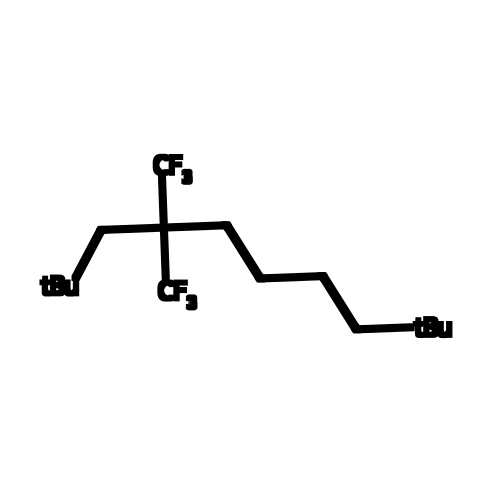 CC(C)(C)CCCCC(CC(C)(C)C)(C(F)(F)F)C(F)(F)F